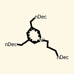 CCCCCCCCCCCCC[n+]1cc(CCCCCCCCCCC)cc(CCCCCCCCCCC)c1